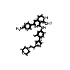 Cc1cc(Nc2nc(-c3cnc(N)nc3)cc3c2C(C=O)NC=C3)ccc1-c1cnn(CCN2CCOCC2)c1